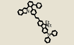 CCC1(CC)c2cc(/C=C/c3ccc(-c4c(C5=CC=CCC5)cccc4-c4cc5ccccc5cn4)cc3)ccc2-c2ccc(N(c3ccccc3)c3ccccc3)cc21